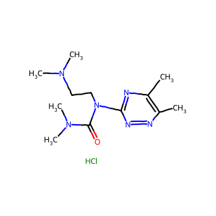 Cc1nnc(N(CCN(C)C)C(=O)N(C)C)nc1C.Cl